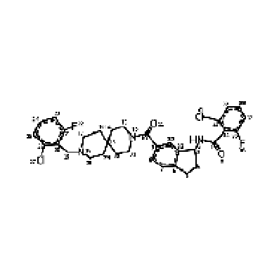 O=C(NC1CCc2ccc(C(=O)N3CCC4(CCN(Cc5c(F)cccc5Cl)CC4)CC3)cc21)c1c(F)cccc1Cl